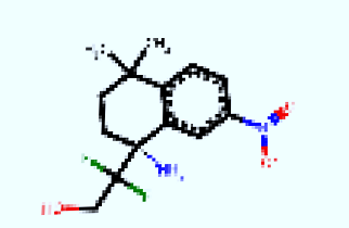 CC1(C)CC[C@](N)(C(F)(F)CO)c2cc([N+](=O)[O-])ccc21